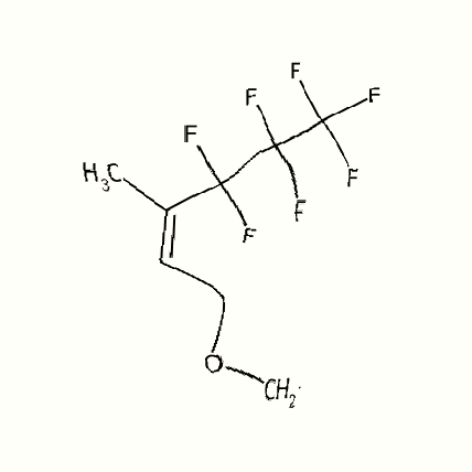 [CH2]OCC=C(C)C(F)(F)C(F)(F)C(F)(F)F